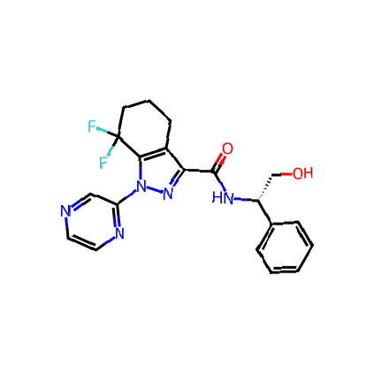 O=C(N[C@H](CO)c1ccccc1)c1nn(-c2cnccn2)c2c1CCCC2(F)F